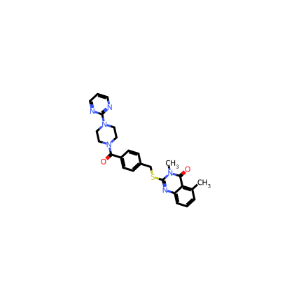 Cc1cccc2nc(SCc3ccc(C(=O)N4CCN(c5ncccn5)CC4)cc3)n(C)c(=O)c12